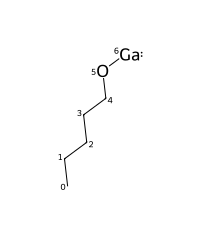 CCCCC[O][Ga]